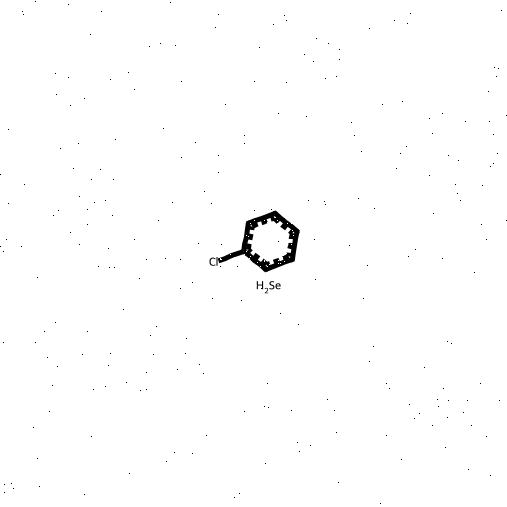 Clc1ccccc1.[SeH2]